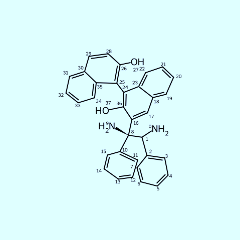 NC(c1ccccc1)[C@](N)(c1ccccc1)c1cc2ccccc2c(-c2c(O)ccc3ccccc23)c1O